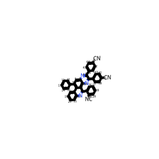 N#Cc1ccc(-c2nc3cc(-c4ccccc4)c4c5ccccc5nc(-c5ccccc5C#N)c4c3nc2-c2ccc(C#N)cc2)cc1